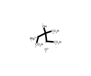 O=C(O)CC(O)(CC(=O)O)C(=O)O.[Mg+2].[O-2]